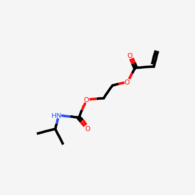 C=CC(=O)OCCOC(=O)NC(C)C